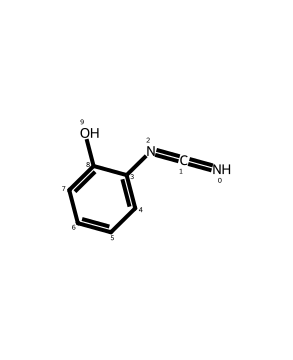 N=C=Nc1ccccc1O